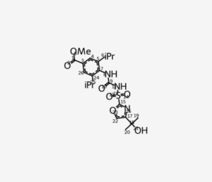 COC(=O)c1cc(C(C)C)c(NC(=O)NS(=O)(=O)c2nc(C(C)(C)O)co2)c(C(C)C)c1